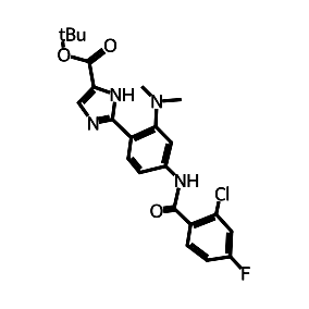 CN(C)c1cc(NC(=O)c2ccc(F)cc2Cl)ccc1-c1ncc(C(=O)OC(C)(C)C)[nH]1